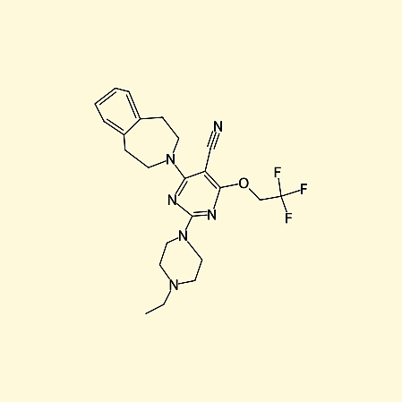 CCN1CCN(c2nc(OCC(F)(F)F)c(C#N)c(N3CCc4ccccc4CC3)n2)CC1